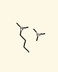 CCCCN(C)C.[CH3][In]([CH3])[CH3]